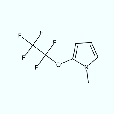 Cn1[c]ccc1OC(F)(F)C(F)(F)F